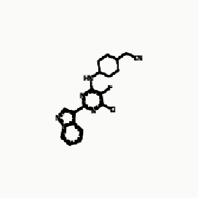 N#CCC1CCC(Nc2nc(-c3cnn4ccccc34)nc(Cl)c2F)CC1